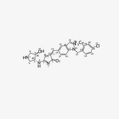 O=C1N=C(N[C@@H]2CNC[C@H]2O)S/C1=C/c1ccc2c(cnn2Cc2ccc(Cl)cc2C(F)(F)F)c1